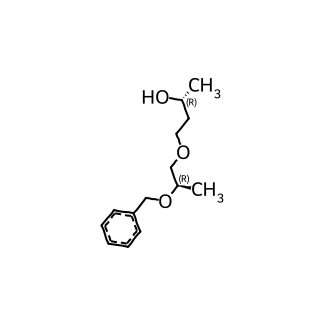 C[C@H](COCC[C@@H](C)O)OCc1ccccc1